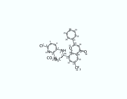 C[C@@H](Nc1ccc(Cl)nc1C(=O)O)c1cc(C(F)(F)F)cc2c(=O)cc(-c3ccccc3)oc12